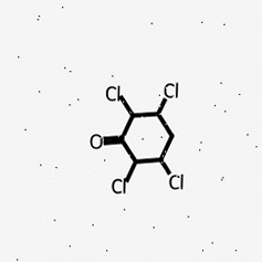 O=C1C(Cl)C(Cl)CC(Cl)C1Cl